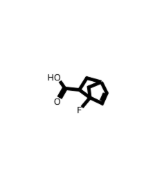 O=C(O)C1CC2C=CC1(F)C2